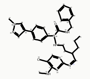 CCCC(/C=N\c1ncc(Cl)c(NC)n1)CCPN(C(=O)NCc1ccccc1)c1ccc(-c2cnn(C)c2)cc1